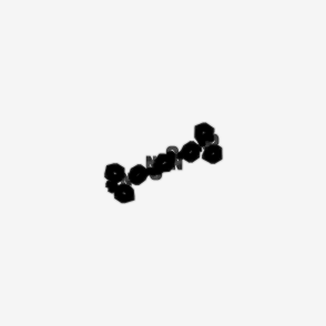 CC1(C)c2ccccc2N(c2ccc(-c3nc4cc5oc(-c6ccc(N7c8ccccc8Oc8ccccc87)cc6)nc5cc4o3)cc2)c2ccccc21